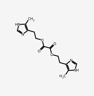 Cc1[nH]cnc1CCOC(=O)C(=O)OCCc1nc[nH]c1C